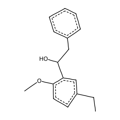 CCc1ccc(OC)c(C(O)Cc2ccccc2)c1